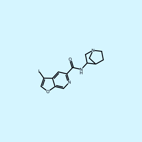 O=C(NC1CN2CCC1C2)c1cc2c(I)coc2cn1